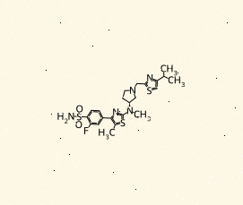 Cc1sc(N(C)[C@H]2CCN(Cc3nc(C(C)C)cs3)C2)nc1-c1ccc(S(N)(=O)=O)c(F)c1